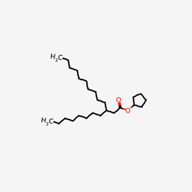 CCCCCCCCCCC(CCCCCCCC)CC(=O)OC1CCCC1